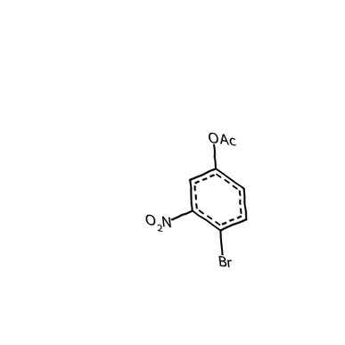 CC(=O)Oc1ccc(Br)c([N+](=O)[O-])c1